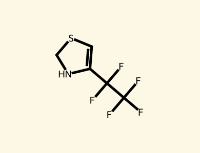 FC(F)(F)C(F)(F)C1=CSCN1